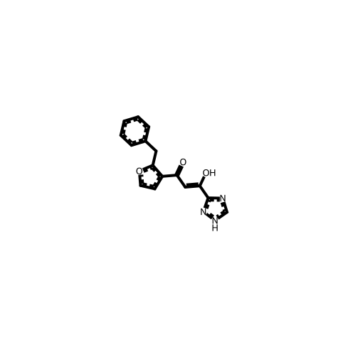 O=C(C=C(O)c1nc[nH]n1)c1ccoc1Cc1ccccc1